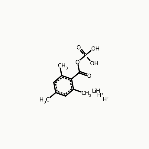 Cc1cc(C)c(C(=O)OP(=O)(O)O)c(C)c1.[H+].[H+].[LiH]